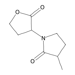 CC1CCN(C2CCOC2=O)C1=O